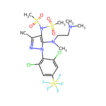 CN(C)CCN(C)c1c(N(S(C)(=O)=O)S(C)(=O)=O)c(C#N)nn1-c1c(Cl)cc(S(F)(F)(F)(F)F)cc1Cl